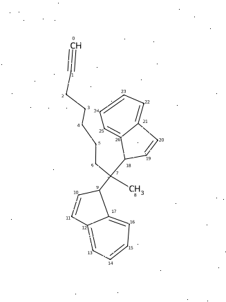 C#CCCCCCC(C)(C1C=Cc2ccccc21)C1C=Cc2ccccc21